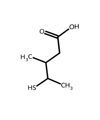 CC(S)C(C)CC(=O)O